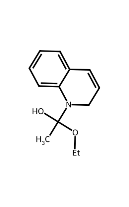 CCOC(C)(O)N1CC=Cc2ccccc21